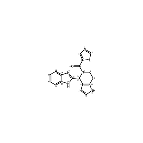 O=C(c1cncs1)N1CCc2[nH]cnc2[C@H]1c1nc2ccccc2[nH]1